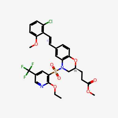 CCOc1ncc(C(F)(F)F)cc1S(=O)(=O)N1C[C@H](CCC(=O)OC)Oc2ccc(/C=C/c3c(Cl)cccc3OC)cc21